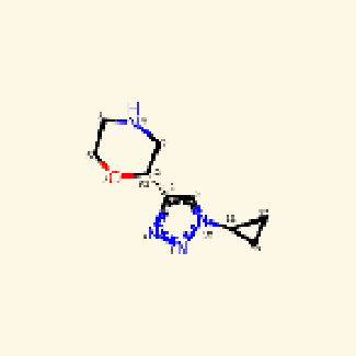 c1c([C@H]2CNCCO2)nnn1C1CC1